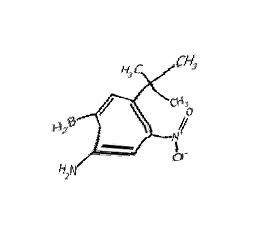 Bc1cc(C(C)(C)C)c([N+](=O)[O-])cc1N